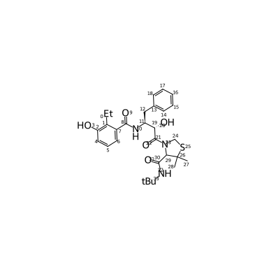 CCc1c(O)cccc1C(=O)N[C@@H](Cc1ccccc1)[C@H](O)C(=O)N1CSC(C)(C)C1C(=O)NC(C)(C)C